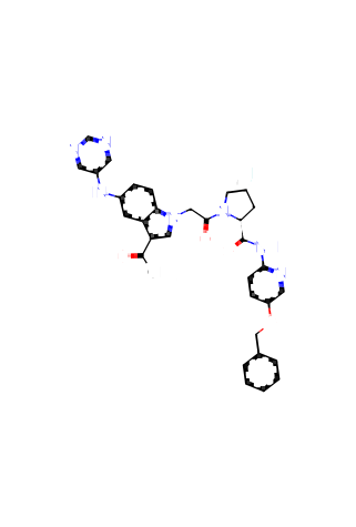 CC(=O)c1cn(CC(=O)N2C[C@H](F)C[C@H]2C(=O)Nc2ccc(OCc3ccccc3)cn2)c2ccc(Nc3cncnc3)cc12